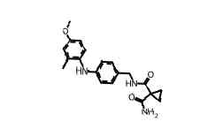 COc1ccc(Nc2ccc(CNC(=O)C3(C(N)=O)CC3)cc2)c(C)c1